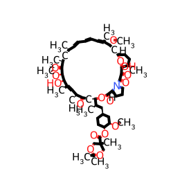 CO[C@H]1C[C@@H]2CC[C@@H](C)[C@@](O)(O2)C(=O)C(=O)N2CCC[C@H]2C(=O)O[C@H]([C@H](C)C[C@@H]2CC[C@@H](OC(=O)C3(C)COC(C)(C)OC3)[C@H](OC)C2)CC(=O)[C@H](C)/C=C(\C)[C@@H](O)[C@@H](OC)C(=O)[C@H](C)C[C@H](C)/C=C/C=C/C=C/1C